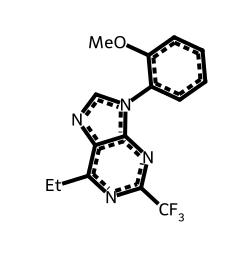 CCc1nc(C(F)(F)F)nc2c1ncn2-c1ccccc1OC